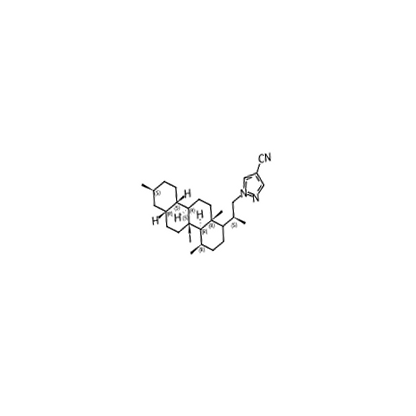 C[C@H]1CC[C@H]2[C@H](CC[C@]3(I)[C@@H]2CC[C@]2(C)C([C@H](C)Cn4cc(C#N)cn4)CC[C@@H](C)[C@@H]32)C1